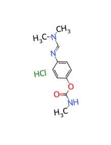 CNC(=O)Oc1ccc(N=CN(C)C)cc1.Cl